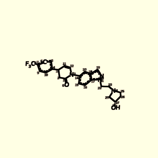 O=C1CC(c2ccc(C(F)(F)F)cc2)C=CN1c1ccc2c(cnn2CCN2CC[C@H](O)C2)c1